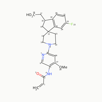 C=CC(=O)Nc1cnc(N2CCC3(CC2)CC(CC(=O)O)c2ccc(F)cc23)cc1OC